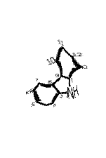 C1=c2[nH]c3ccccc3c2=CCC1